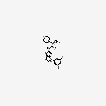 C[C@H](C(=O)Nc1cn2c(n1)CC[C@H]2c1cc(F)cc(F)c1)N1CCOCC1